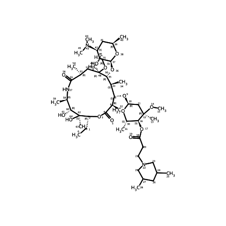 CC[C@H]1OC(=O)[C@H](C)[C@@H](O[C@H]2C[C@@](C)(OC)[C@@H](OC(=O)CCN3CC(C)CC(C)C3)[C@H](C)O2)[C@H](C)[C@@H](O[C@@H]2O[C@H](C)C[C@H](N(C)C)[C@H]2O)[C@](C)(OC)C[C@@H](C)C(=O)N[C@H](C)[C@@H](O)[C@]1(C)O